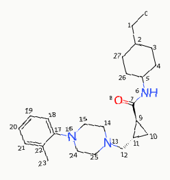 CCC1CCC(NC(=O)[C@H]2C[C@@H]2CN2CCN(c3ccccc3C)CC2)CC1